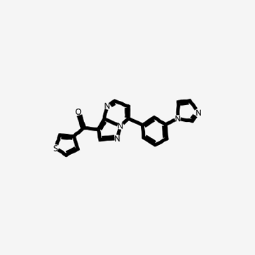 O=C(c1ccsc1)c1cnn2c(-c3cccc(-n4ccnc4)c3)ccnc12